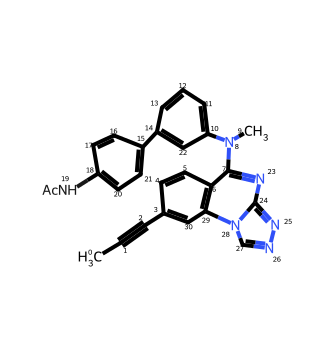 CC#Cc1ccc2c(N(C)c3cccc(-c4ccc(NC(C)=O)cc4)c3)nc3nncn3c2c1